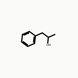 [CH2]C(O)Cc1ccccc1